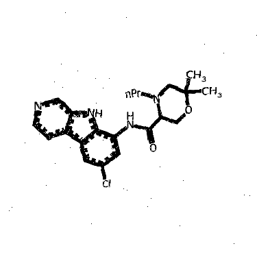 CCCN1CC(C)(C)OCC1C(=O)Nc1cc(Cl)cc2c1[nH]c1cnccc12